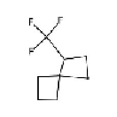 FC(F)(F)C1CCC12CCC2